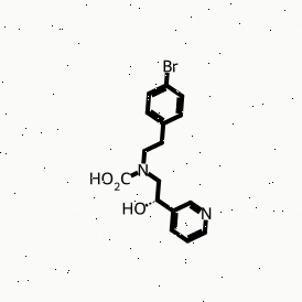 O=C(O)N(CCc1ccc(Br)cc1)C[C@@H](O)c1cccnc1